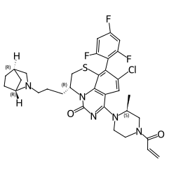 C=CC(=O)N1CCN(c2nc(=O)n3c4c(c(-c5c(F)cc(F)cc5F)c(Cl)cc24)SC[C@H]3CCCN2C[C@@H]3CC[C@@H]2C3)[C@@H](C)C1